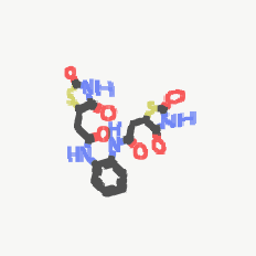 O=C(CC1SC(=O)NC1=O)Nc1ccccc1NC(=O)CC1SC(=O)NC1=O